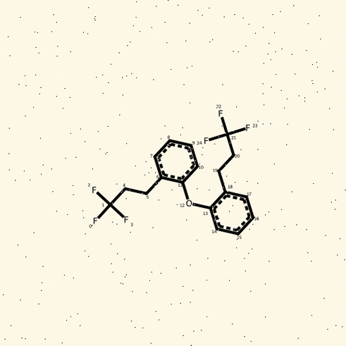 FC(F)(F)CCc1ccccc1Oc1ccccc1CCC(F)(F)F